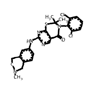 CN1CCc2cc(Nc3ncc4c(n3)SC(C)(C)N(c3c(Cl)cccc3Cl)C4=O)ccc2C1